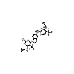 FC(F)(F)c1cnc(Nc2ccc3c(c2)CCN3c2nc(Cl)nc(NC3CC3)c2C(F)(F)F)nc1NC1CC1